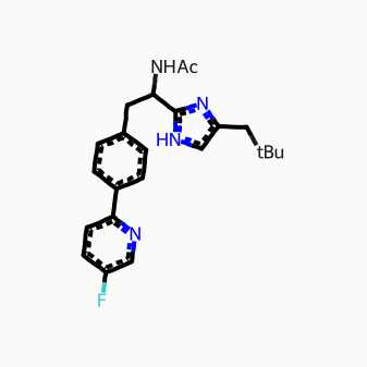 CC(=O)NC(Cc1ccc(-c2ccc(F)cn2)cc1)c1nc(CC(C)(C)C)c[nH]1